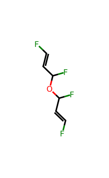 FC=CC(F)OC(F)C=CF